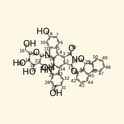 O=C1c2c(c3c4ccc(O)cc4n(C4OC(CO)C(O)C(O)C4O)c3c3[nH]c4cc(O)ccc4c23)C(=O)N1OC1c2ccccc2-c2ccccc21